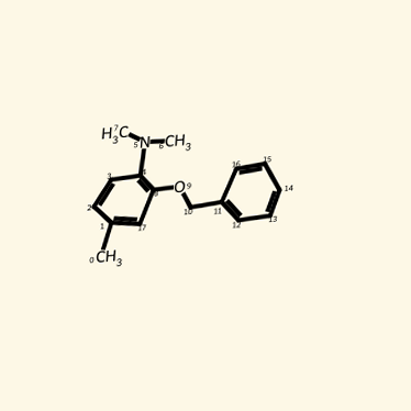 Cc1ccc(N(C)C)c(OCc2ccccc2)c1